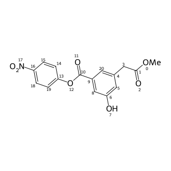 COC(=O)Cc1cc(O)cc(C(=O)Oc2ccc([N+](=O)[O-])cc2)c1